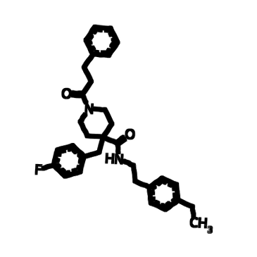 CCc1ccc(CCNC(=O)C2(Cc3ccc(F)cc3)CCN(C(=O)CCc3ccccc3)CC2)cc1